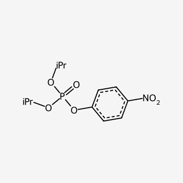 CC(C)OP(=O)(Oc1ccc([N+](=O)[O-])cc1)OC(C)C